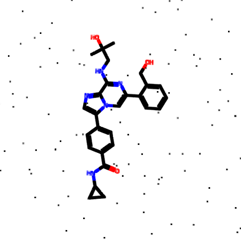 CC(C)(O)CNc1nc(-c2ccccc2CO)cn2c(-c3ccc(C(=O)NC4CC4)cc3)cnc12